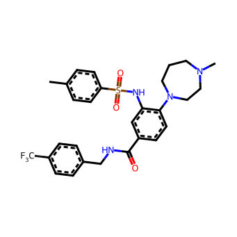 Cc1ccc(S(=O)(=O)Nc2cc(C(=O)NCc3ccc(C(F)(F)F)cc3)ccc2N2CCCN(C)CC2)cc1